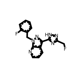 FCc1n[nH]c(-c2nn(Cc3ccccc3F)c3ncccc23)n1